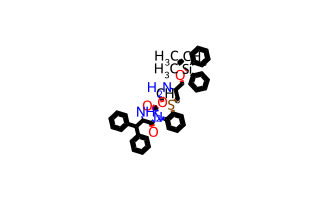 COC(=O)N(C(=O)[C@@H](N)C(c1ccccc1)c1ccccc1)c1ccccc1SC[C@H](N)CO[Si](c1ccccc1)(c1ccccc1)C(C)(C)C